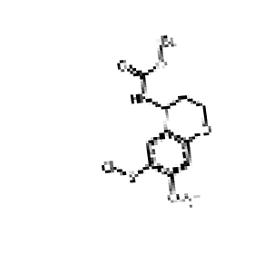 CC(C)(C)OC(=O)NC1CCOc2cc(C(=O)O)c(SCl)cc21